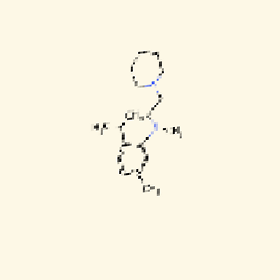 Cc1ccc(C(C)C)c(N(C)CCN2CCCCC2)c1